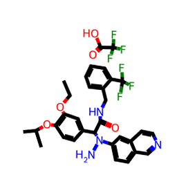 CCOc1cc(C(C(=O)NCc2ccccc2C(F)(F)F)N(N)c2ccc3cnccc3c2)ccc1OC(C)C.O=C(O)C(F)(F)F